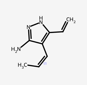 C=Cc1[nH]nc(N)c1/C=C\C